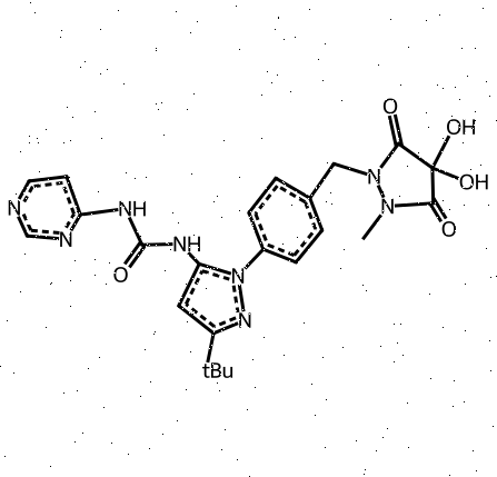 CN1C(=O)C(O)(O)C(=O)N1Cc1ccc(-n2nc(C(C)(C)C)cc2NC(=O)Nc2ccncn2)cc1